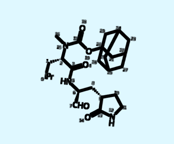 CC(C)C[C@@H](C(=O)N[C@H](C=O)C[C@@H]1CCNC1=O)N(C)C(=O)OC12CC3CC(CC(C3)C1)C2